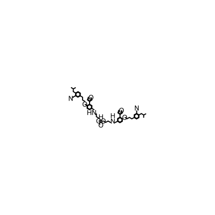 CC(C)Cc1ccc(CCCOc2ccc(CNCCCO[PH](=O)OCCCNCc3ccc(OCCCc4ccc(CC(C)C)c(C#N)c4)c(-c4ccoc4)c3)cc2-c2ccoc2)cc1C#N